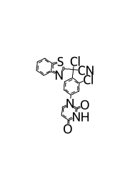 N#CC(Cl)(c1nc2ccccc2s1)c1ccc(-n2ccc(=O)[nH]c2=O)cc1Cl